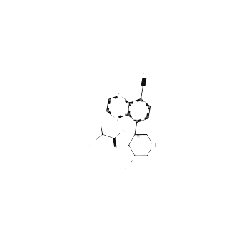 CC(O)C(=O)N[C@]1(c2ccc(C#N)c3nccnc23)CNC[C@@H](C)C1